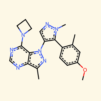 COc1ccc(-c2c(-n3nc(C)c4ncnc(N5CCC5)c43)cnn2C)c(C)c1